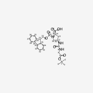 CC(C)(C)OC(=O)CNC(=O)N[C@@H]1C[C@H](C(=O)O)N(C(=O)OCC2c3ccccc3-c3ccccc32)C1